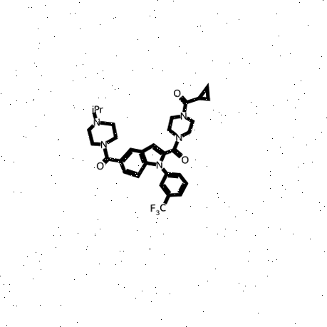 CC(C)N1CCN(C(=O)c2ccc3c(c2)cc(C(=O)N2CCN(C(=O)C4CC4)CC2)n3-c2cccc(C(F)(F)F)c2)CC1